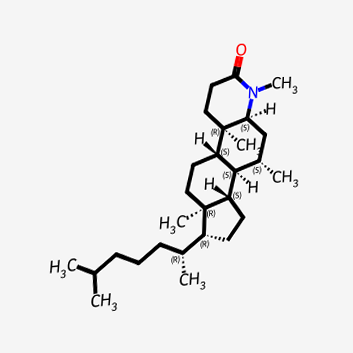 CC(C)CCC[C@@H](C)[C@H]1CC[C@H]2[C@@H]3[C@@H](C)C[C@@H]4N(C)C(=O)CC[C@]4(C)[C@H]3CC[C@]12C